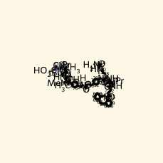 CNC(C(=O)N[C@H](C(=O)N(C)[C@H](/C=C(\C)C(=O)O)C(C)C)C(C)(C)C)C(C)(C)c1ccc(CNC(=O)OCc2ccc(NC(=O)[C@H](CCCNC(N)=O)NC(=O)[C@@H](NC(=O)CCC(=O)N3Cc4ccccc4C#Cc4ccccc43)C(C)C)cc2)cc1